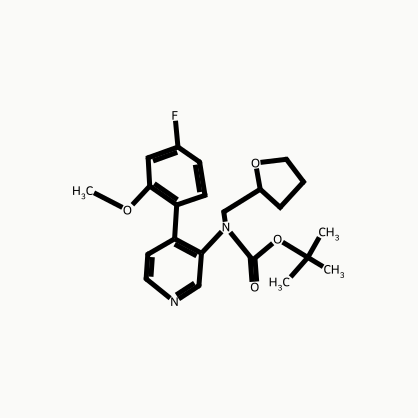 COc1cc(F)ccc1-c1ccncc1N(CC1CCCO1)C(=O)OC(C)(C)C